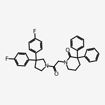 O=C(CN1CCCC(c2ccccc2)(c2ccccc2)C1=O)N1CCC(c2ccc(F)cc2)(c2ccc(F)cc2)C1